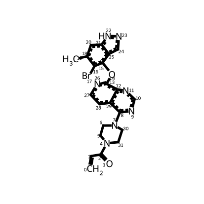 C=CC(=O)N1CCN(c2ncnc3c(Oc4c(Br)c(C)cc5[nH]ncc45)nccc23)CC1